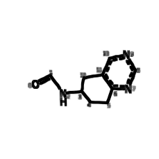 O=CNC1CCc2ncncc2C1